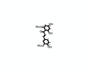 COc1cc(C=CC(=O)c2c(O)cc(O)cc2OC)ccc1O